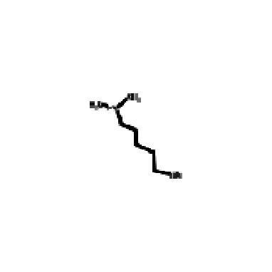 CCCCCCCC[CH][SiH](C)C